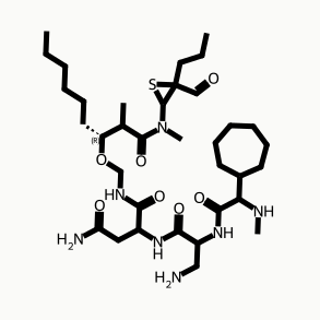 CCCCCC[C@@H](OCNC(=O)C(CC(N)=O)NC(=O)C(CN)NC(=O)C(NC)C1CCCCCC1)C(C)C(=O)N(C)C1SC1(C=O)CCC